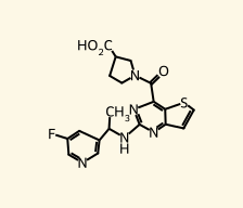 CC(Nc1nc(C(=O)N2CCC(C(=O)O)C2)c2sccc2n1)c1cncc(F)c1